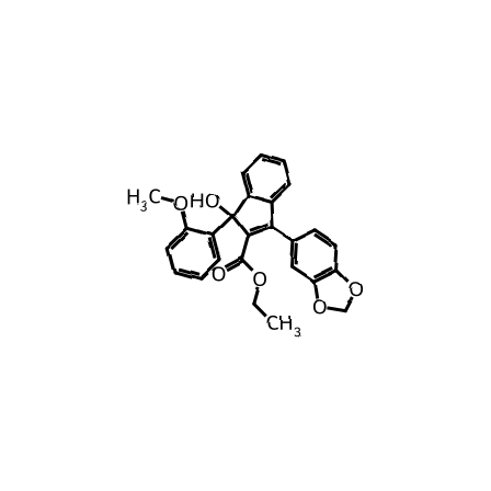 CCOC(=O)C1=C(c2ccc3c(c2)OCO3)c2ccccc2C1(O)c1ccccc1OC